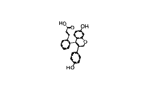 O=C(O)/C=C/c1ccccc1C1=C(c2ccc(O)cc2)COc2cc(O)ccc21